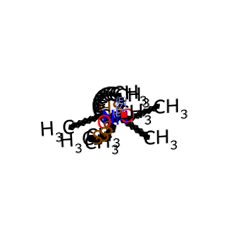 CCCCCCCCCCCCC(CCCCCCCCCC)CN(C=O)c1cc2c3c\c1=C(C)/C(S)=C/C=C/C(C)(C)CCCCCCCCCCC(CCCCCCCCCCCC)CN3C(=O)C=2c1ccc(-c2ccc(-c3ccc(C(C)(C)C)s3)s2)s1